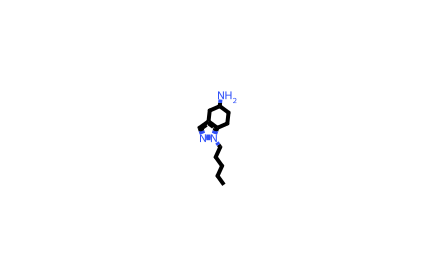 CCCCCn1ncc2c1CCC(N)C2